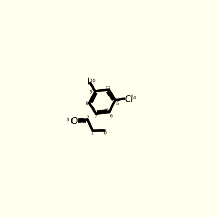 CCC=O.Clc1cccc(I)c1